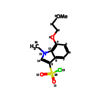 COCCOc1cccc2c(S(=O)(=O)Cl)cn(C)c12